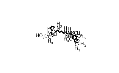 Cc1c(C)c(S(=O)(=O)NC(=N)NCCC[C@H](N)C(=O)N2CCC[C@H]2C(=O)N[C@H](C)C(=O)O)c(C)c2c1OC(C)(C)C2